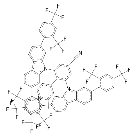 Cc1cc(-c2c(-n3c4cc(-c5ccc(C(F)(F)F)cc5C(F)(F)F)ccc4c4ccc(-c5ccc(C(F)(F)F)cc5C(F)(F)F)cc43)cc(C#N)cc2-n2c3cc(-c4ccc(C(F)(F)F)cc4C(F)(F)F)ccc3c3ccc(-c4ccc(C(F)(F)F)cc4C(F)(F)F)cc32)cc(C)n1